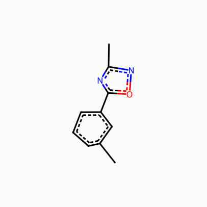 Cc1cccc(-c2nc(C)no2)c1